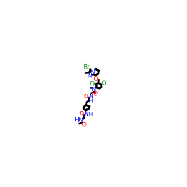 CC(=O)NCC(=O)Nc1ccc(C=CC(=O)NCC(=O)N(C)c2ccc(Cl)c(COc3cccn4c(Br)c(C)nc34)c2Cl)cc1